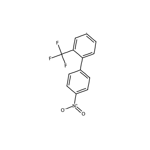 O=[N+]([O-])c1ccc(-c2cc[c]cc2C(F)(F)F)cc1